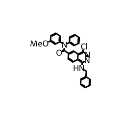 COc1cccc(N(C(=O)c2ccc3c(NCc4ccccc4)nnc(Cl)c3c2)c2ccccc2)c1